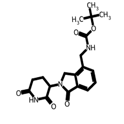 CC(C)(C)OC(=O)NCc1cccc2c1CN(C1CCC(=O)NC1=O)C2=O